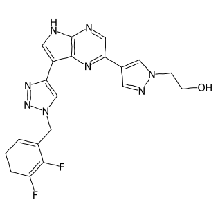 OCCn1cc(-c2cnc3[nH]cc(-c4cn(CC5=CCCC(F)=C5F)nn4)c3n2)cn1